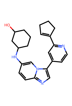 OC1CCCC(Nc2ccc3ncc(-c4ccnc(C5=CCCC5)c4)n3c2)C1